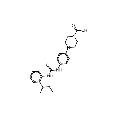 CCC(C)c1ccccc1NC(=O)Nc1ccc(N2CCN(C(=O)O)CC2)cc1